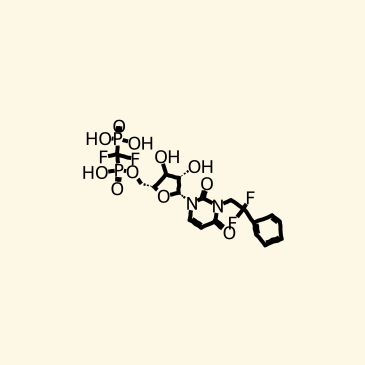 O=c1ccn([C@@H]2O[C@H](COP(=O)(O)C(F)(F)P(=O)(O)O)C(O)[C@@H]2O)c(=O)n1CC(F)(F)c1ccccc1